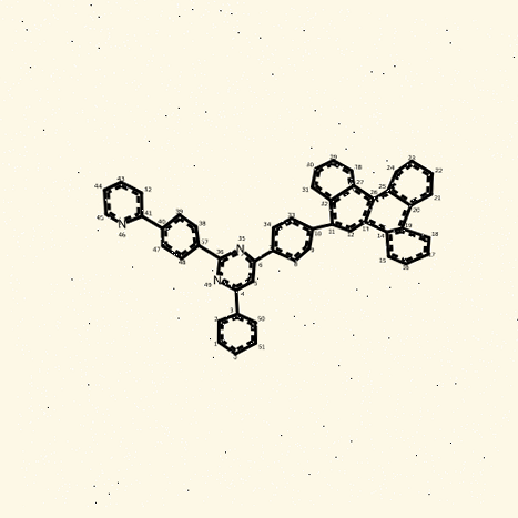 c1ccc(-c2cc(-c3ccc(-c4cc5c6ccccc6c6ccccc6c5c5ccccc45)cc3)nc(-c3ccc(-c4ccccn4)cc3)n2)cc1